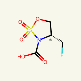 O=C(O)N1[C@@H](CF)COS1(=O)=O